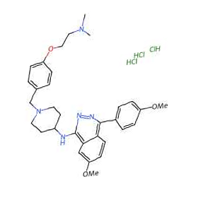 COc1ccc(-c2nnc(NC3CCN(Cc4ccc(OCCN(C)C)cc4)CC3)c3cc(OC)ccc23)cc1.Cl.Cl.Cl